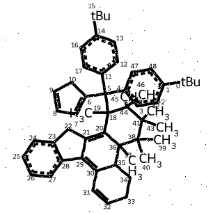 CC(C)(C)c1ccc(C(C2=CC=CC2)(c2ccc(C(C)(C)C)cc2)C2(C)C3=C4Cc5ccccc5C4=C4C=CCCC4C3(C)C(C)(C)C(C)(C)C2(C)C)cc1